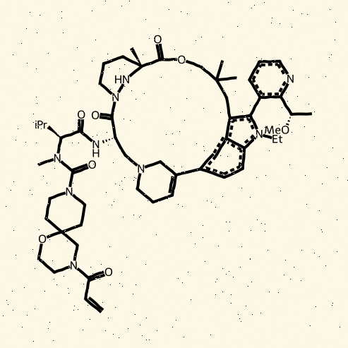 C=CC(=O)N1CCOC2(CCN(C(=O)N(C)[C@H](C(=O)N[C@H]3CN4CCC=C(C4)c4ccc5c(c4)c(c(-c4cccnc4[C@H](C)OC)n5CC)CC(C)(C)COC(=O)[C@@]4(C)CCCN(N4)C3=O)C(C)C)CC2)C1